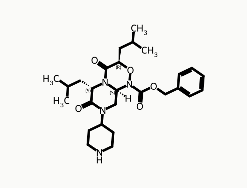 CC(C)C[C@H]1ON(C(=O)OCc2ccccc2)[C@H]2CN(C3CCNCC3)C(=O)[C@H](CC(C)C)N2C1=O